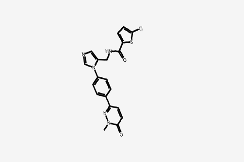 Cn1nc(-c2ccc(-n3cncc3CNC(=O)c3ccc(Cl)s3)cc2)ccc1=O